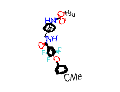 COc1ccc(COc2c(F)cc(C(=O)NC[C@]34CC[C@](NC(=O)OC(C)(C)C)(CC3)CC4)c(F)c2F)cc1